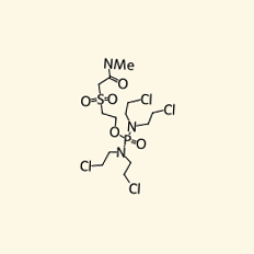 CNC(=O)CS(=O)(=O)CCOP(=O)(N(CCCl)CCCl)N(CCCl)CCCl